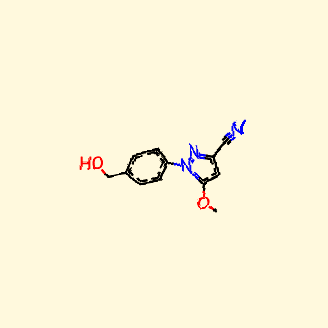 COc1cc(C#N)nn1-c1ccc(CO)cc1